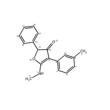 CNC1=C(c2cccc(C)c2)C(=O)C(c2ccccc2)O1